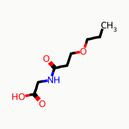 CCCOCCC(=O)NCC(=O)O